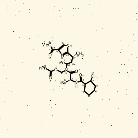 CCCC(=O)OCN(C(=O)[C@@H](NC(=O)C1CCCCC1C)C(C)CC)[C@H](C[C@@H](C)c1nc(C(=O)OC)cs1)C(C)C